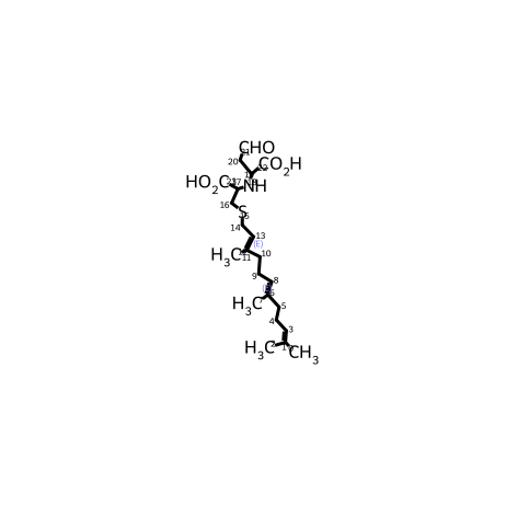 CC(C)=CCC/C(C)=C/CC/C(C)=C/CSCC(NC(CC=O)C(=O)O)C(=O)O